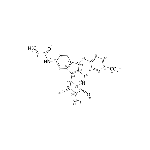 C=CC(=O)Nc1ccc2c(c1)c1c(n2Cc2ccc(C(=O)O)cc2)CN2CC1C(=O)N(C)C2=O